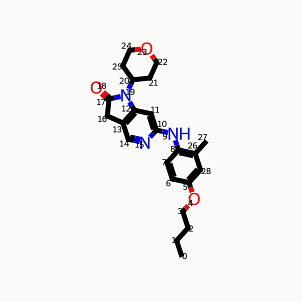 CCCCOc1ccc(Nc2cc3c(cn2)CC(=O)N3C2CCOCC2)c(C)c1